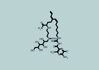 C=C/C=C(\C=C/CCCCCNC(=N)NC(=O)c1nc(Cl)c(N)nc1N)CCC(NCCCN(CCCCCC)CC(O)C(O)C(O)C(O)CO)C(N)=O